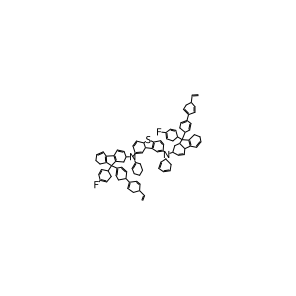 C=CC1C=CC(C2=CCC(C3(C4C=CC(F)=CC4)C4=C(C=CCC4)C4C=CC(N(c5ccc6c(c5)C5C=C(N(C7=CCCCC7)C7C=CC8=C(C7)C(C7=CCC(C9=CCC(C=C)C=C9)C=C7)(C7C=CC(F)=CC7)C7=C8C=CCC7)C=CC5S6)C5C=CC=CC5)CC43)C=C2)=CC1